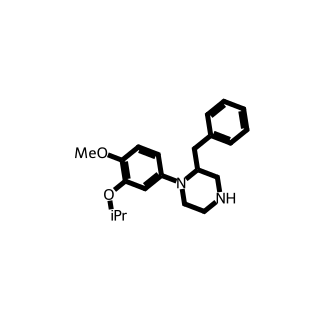 COc1ccc(N2CCNCC2Cc2ccccc2)cc1OC(C)C